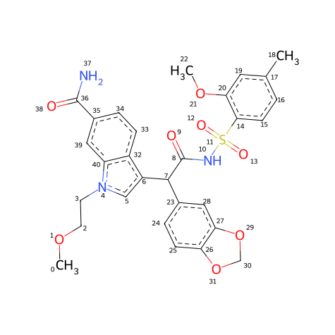 COCCn1cc(C(C(=O)NS(=O)(=O)c2ccc(C)cc2OC)c2ccc3c(c2)OCO3)c2ccc(C(N)=O)cc21